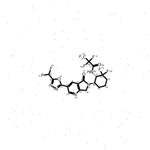 O=C1c2cc(-c3nnc(C(F)F)o3)cnc2CN1[C@@H]1CCCC(F)(F)[C@H]1NC(=O)C(F)(F)C(F)(F)F